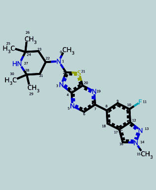 CN(c1nc2ncc(-c3cc(F)c4nn(C)cc4c3)nc2s1)C1CC(C)(C)NC(C)(C)C1